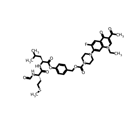 CCn1cc(C(C)=O)c(=O)c2cc(F)c(N3CCN(C(=O)OCc4ccc(OC(=O)[C@H](CC(C)C)NC(=O)[C@H](CCSC)NC=O)cc4)CC3)cc21